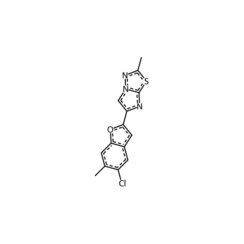 Cc1nn2cc(-c3cc4cc(Cl)c(C)cc4o3)nc2s1